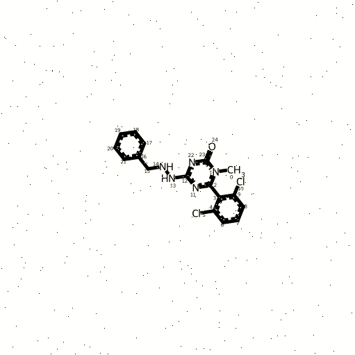 Cn1c(-c2c(Cl)cccc2Cl)nc(NNCc2ccccc2)nc1=O